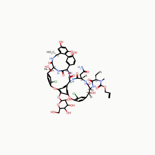 C=CCOC(=O)N(C)[C@H](CC(C)C)C(=O)N[C@H]1C(=O)N[C@@H](CC(N)=O)C(=O)N[C@H]2C(=O)N[C@H]3C(=O)N[C@H](C(=O)N[C@H](C(=O)O)c4cc(O)cc(O)c4-c4cc3ccc4O)[C@H](O)c3ccc(c(Cl)c3)Oc3cc2cc(c3OC2OC(CO)C(O)C(O)C2O)Oc2ccc(cc2Cl)[C@H]1O